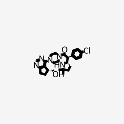 CC1(C)CC[C@@H]([C@@H](C(=O)N2CCN(c3ncnc4c3[C@H](CO)CC4)CC2)c2ccc(Cl)cc2)N1